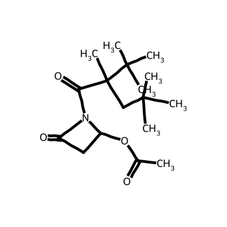 CC(=O)OC1CC(=O)N1C(=O)C(C)(CC(C)(C)C)C(C)(C)C